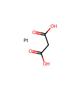 O=C(O)CC(=O)O.[Pt]